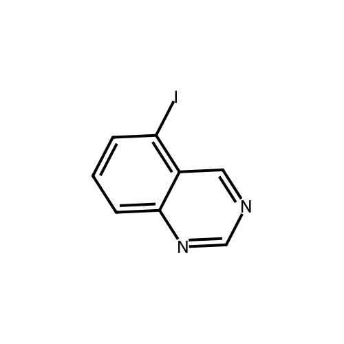 Ic1cccc2ncncc12